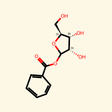 O=C(OC1O[C@@H](CO)[C@H](O)[C@@H]1O)c1ccccc1